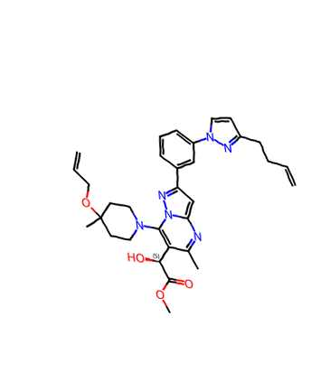 C=CCCc1ccn(-c2cccc(-c3cc4nc(C)c([C@H](O)C(=O)OC)c(N5CCC(C)(OCC=C)CC5)n4n3)c2)n1